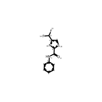 O=C(Nc1ccccc1)c1nc(C(F)F)cs1